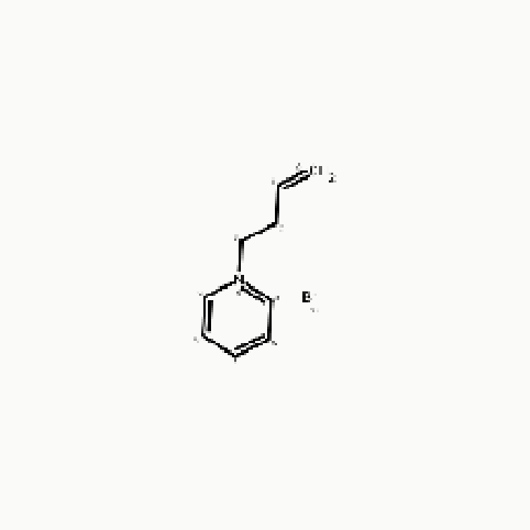 C=CCC[n+]1ccccc1.[Br-]